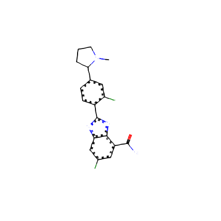 CN1CCCC1c1ccc(-c2nc3c(C(N)=O)cc(F)cc3[nH]2)c(F)c1